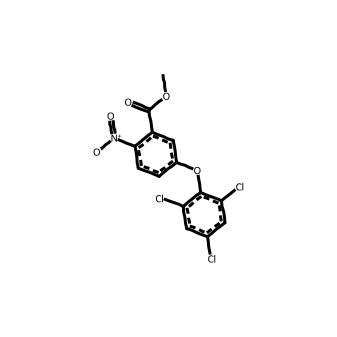 COC(=O)c1cc(Oc2c(Cl)cc(Cl)cc2Cl)ccc1[N+](=O)[O-]